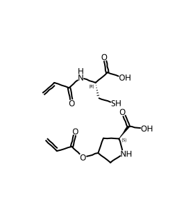 C=CC(=O)N[C@@H](CS)C(=O)O.C=CC(=O)OC1CN[C@H](C(=O)O)C1